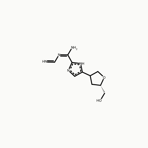 N=C/N=C(/N)c1ncc(C2CO[C@H](CO)C2)[nH]1